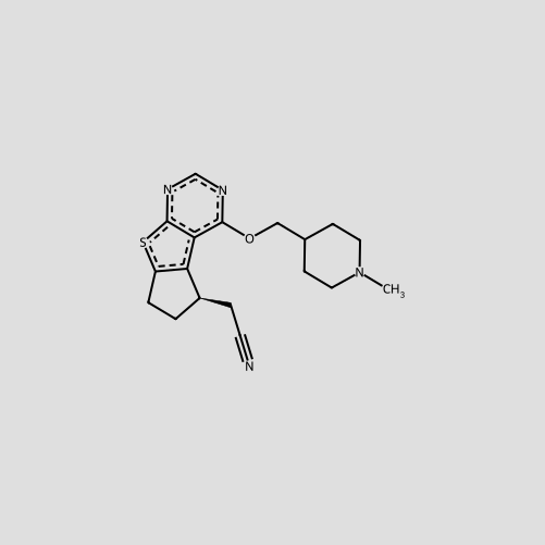 CN1CCC(COc2ncnc3sc4c(c23)[C@@H](CC#N)CC4)CC1